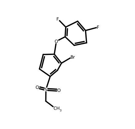 CCS(=O)(=O)c1ccc(Oc2ccc(F)cc2F)c(Br)c1